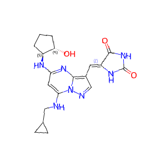 O=C1NC(=O)/C(=C/c2cnn3c(NCC4CC4)cc(N[C@H]4CCC[C@@H]4O)nc23)N1